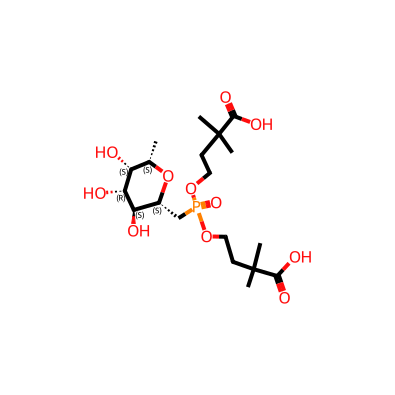 C[C@@H]1O[C@H](CP(=O)(OCCC(C)(C)C(=O)O)OCCC(C)(C)C(=O)O)[C@@H](O)[C@H](O)[C@@H]1O